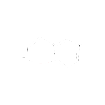 [C]1=Cc2ccccc2O[Te]1